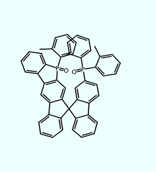 Cc1ccccc1P(=O)(c1ccc2c(c1)C1(c3ccccc3-2)c2ccccc2-c2cc3c(cc21)P(=O)(c1ccccc1C)c1ccccc1-3)c1ccccc1C